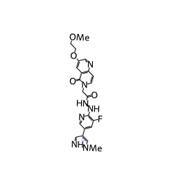 CN/C=C(\C=N)c1cnc(NNC(=O)Cn2ccc3ncc(OCCOC)cc3c2=O)c(F)c1